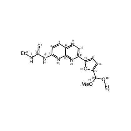 CCNC(=S)Nc1ccc2ncc(-c3ccc(C(OC)OCC)o3)nc2n1